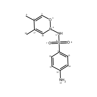 CC1=CON(NS(=O)(=O)c2ccc(N)cc2)C=C1C